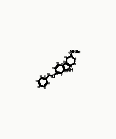 CC(=O)NC1CCc2[nH]c3cc(OCc4ccccc4)ccc3c2C1